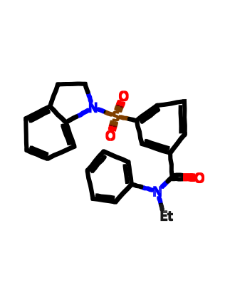 CCN(C(=O)c1cccc(S(=O)(=O)N2CCc3ccccc32)c1)c1ccccc1